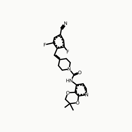 CC1(C)COc2c(NC(=O)N3CCC(=Cc4c(F)cc(C#N)cc4F)CC3)ccnc2O1